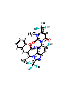 CC(C(Cc1ccccc1)C(N)=O)n1c(C(F)(F)F)nc2cc(F)c(-n3c(=O)cc(C(F)(F)F)n(C)c3=O)cc21